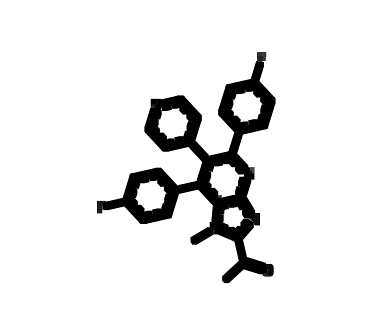 CC(=O)c1nc2nc(-c3ccc(F)cc3)c(-c3ccncc3)c(-c3ccc(F)cc3)c2n1C